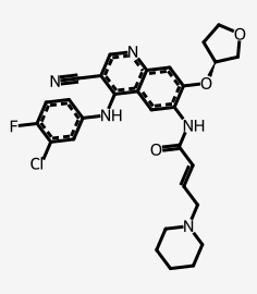 N#Cc1cnc2cc(O[C@H]3CCOC3)c(NC(=O)C=CCN3CCCCC3)cc2c1Nc1ccc(F)c(Cl)c1